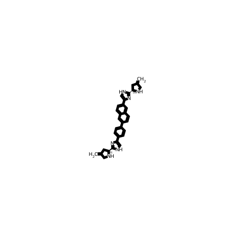 C=C1CN[C@H](c2nc(-c3ccc(-c4ccc5cc(-c6c[nH]c([C@@H]7CC(=C)CN7)n6)ccc5c4)cc3)c[nH]2)C1